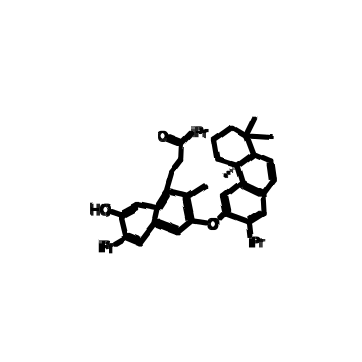 Cc1c(Oc2cc3c(cc2C(C)C)C=CC2C(C)(C)CCC[C@]32C)cc2cc(C(C)C)c(O)cc2c1CCC(=O)C(C)C